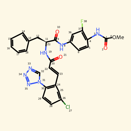 COC(=O)Nc1ccc(NC(=O)[C@H](Cc2ccccc2)NC(=O)C=Cc2cc(Cl)ccc2-n2cnnn2)cc1F